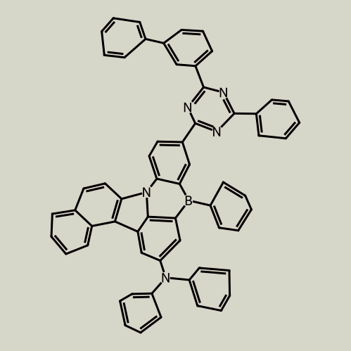 c1ccc(B2c3cc(-c4nc(-c5ccccc5)nc(-c5cccc(-c6ccccc6)c5)n4)ccc3-n3c4ccc5ccccc5c4c4cc(N(c5ccccc5)c5ccccc5)cc2c43)cc1